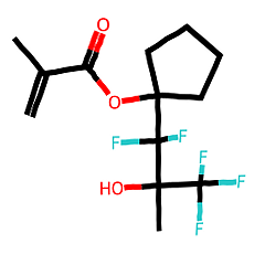 C=C(C)C(=O)OC1(C(F)(F)C(C)(O)C(F)(F)F)CCCC1